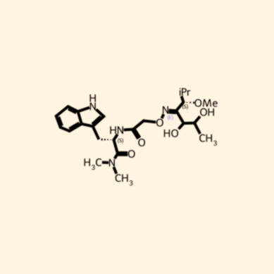 CO[C@H](/C(=N/OCC(=O)N[C@@H](Cc1c[nH]c2ccccc12)C(=O)N(C)C)C(O)C(C)O)C(C)C